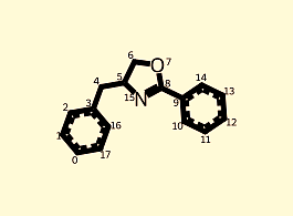 c1ccc(CC2COC(c3ccccc3)=N2)cc1